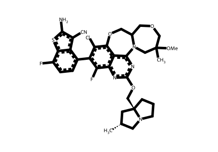 COC1(C)COCC2COc3c(Cl)c(-c4ccc(F)c5sc(N)c(C#N)c45)c(F)c4nc(OC[C@@]56CCCN5C[C@H](C)C6)nc(c34)N2C1